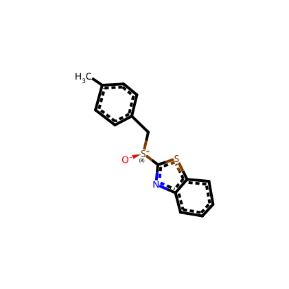 Cc1ccc(C[S@+]([O-])c2nc3ccccc3s2)cc1